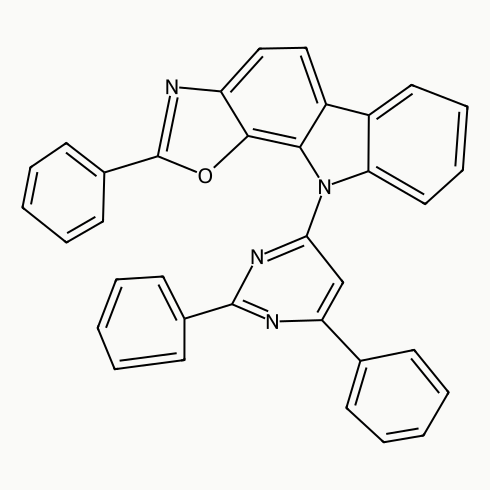 c1ccc(-c2cc(-n3c4ccccc4c4ccc5nc(-c6ccccc6)oc5c43)nc(-c3ccccc3)n2)cc1